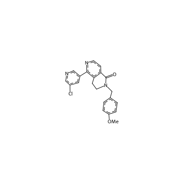 COc1ccc(CN2CCc3c(ccnc3-c3cncc(Cl)c3)C2=O)cc1